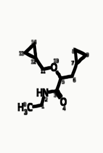 CCNC(=O)C(CC1CC1)OCC1CC1